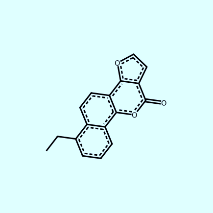 CCc1cccc2c1ccc1c3occc3c(=O)oc21